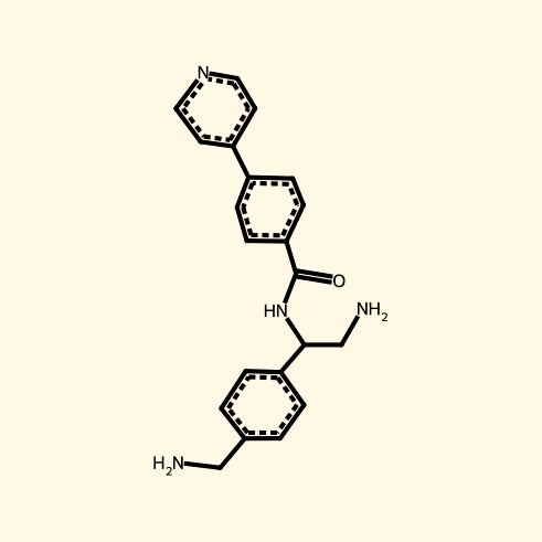 NCc1ccc(C(CN)NC(=O)c2ccc(-c3ccncc3)cc2)cc1